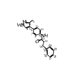 Cc1n[nH]cc1-c1ccc(NC(=O)CCc2ccccc2)cc1